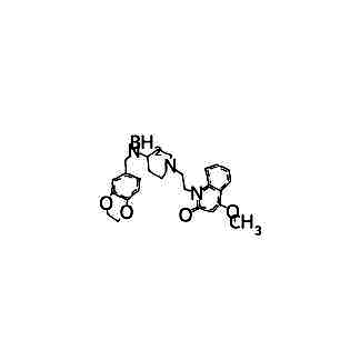 BN(Cc1ccc2c(c1)OCCO2)C1CCN(CCn2c(=O)cc(OC)c3ccccc32)CC1